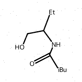 CCC(CO)NC(=O)C(C)CC